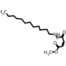 CCCCCCCCCCCC[SiH2]OC(=O)/C=C\C(=O)OC